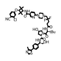 Cc1ncsc1-c1ccc([C@H](CO)NC(=O)[C@@H]2C[C@@H](O)CN2C(=O)[C@@H](NC(=O)CCC(F)(F)CN2CCN(c3ccc(C(=O)N[C@H]4C(C)(C)[C@H](Oc5ccc(C#N)c(Cl)c5)C4(C)C)cn3)CC2)C(C)(C)C)cc1